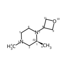 C[C@H]1CN(C)CCN1C1COC1